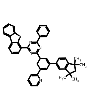 CC1(C)CC(C)(C)c2cc(C3=CC(c4nc(-c5ccccc5)nc(-c5cccc6c5sc5ccccc56)n4)CC(c4ccccn4)=C3)ccc21